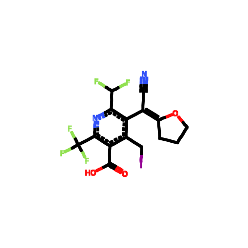 N#CC(=C1CCCO1)c1c(C(F)F)nc(C(F)(F)F)c(C(=O)O)c1CI